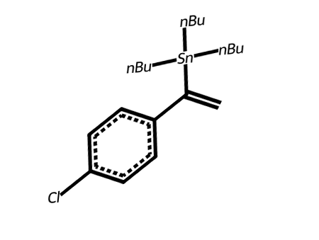 C=[C](c1ccc(Cl)cc1)[Sn]([CH2]CCC)([CH2]CCC)[CH2]CCC